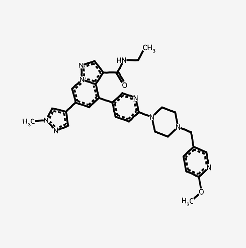 CCNC(=O)c1cnn2cc(-c3cnn(C)c3)cc(-c3ccc(N4CCN(Cc5ccc(OC)nc5)CC4)nc3)c12